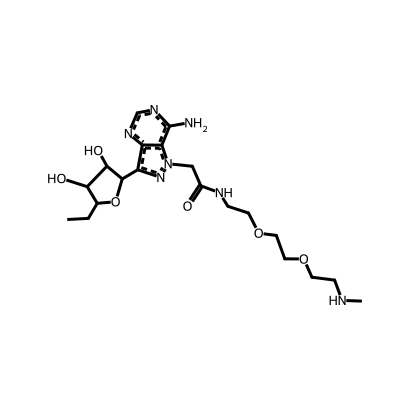 CCC1OC(c2nn(CC(=O)NCCOCCOCCNC)c3c(N)ncnc23)C(O)C1O